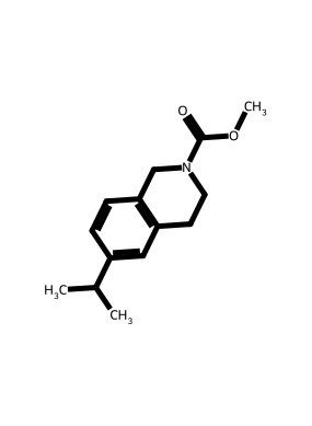 COC(=O)N1CCc2cc(C(C)C)ccc2C1